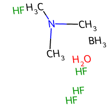 B.CN(C)C.F.F.F.F.O